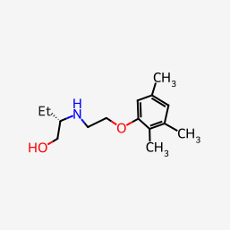 CC[C@@H](CO)NCCOc1cc(C)cc(C)c1C